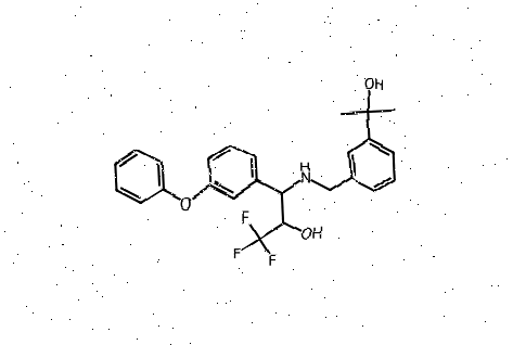 CC(C)(O)c1cccc(CNC(c2cccc(Oc3ccccc3)c2)C(O)C(F)(F)F)c1